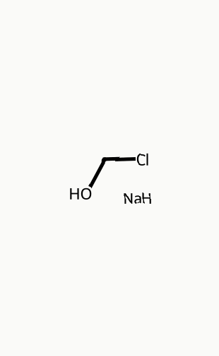 OCCl.[NaH]